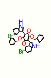 O=C1C(OCc2ccccc2)=C(c2c[nH]c3ccc(Br)cc23)C(=O)C(OCc2ccccc2)=C1c1c[nH]c2ccc(Br)cc12